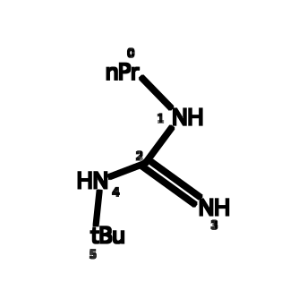 CCCNC(=N)NC(C)(C)C